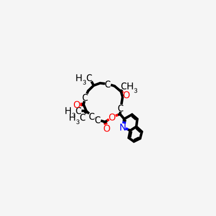 CC1CCCC2(C)OC2CC(c2ccc3ccccc3n2)OC(=O)CCC(C)(C)C(=O)CC1